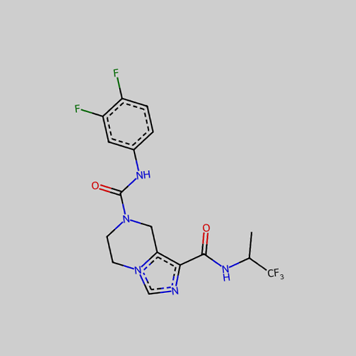 CC(NC(=O)c1ncn2c1CN(C(=O)Nc1ccc(F)c(F)c1)CC2)C(F)(F)F